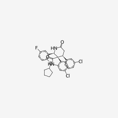 O=C1C[C@@H](c2cccc(Cl)c2)[C@]2(C(=O)Nc3cc(Cl)ccc32)[C@@H](c2cc(F)ccc2OC2CCCC2)N1